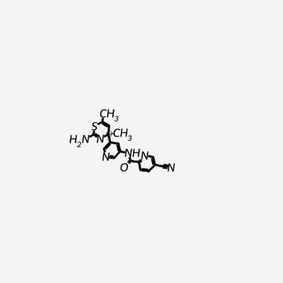 CC1=C[C@@](C)(c2cncc(NC(=O)c3ccc(C#N)cn3)c2)N=C(N)S1